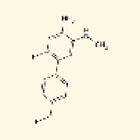 CNc1cc(-c2ccc(CF)cc2)c(F)cc1N